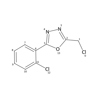 ClCc1nnc(-c2ccccc2Cl)o1